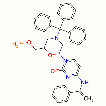 C=C(Nc1ccn(C2CN(C(c3ccccc3)(c3ccccc3)c3ccccc3)CC(COP)O2)c(=O)n1)c1ccccc1